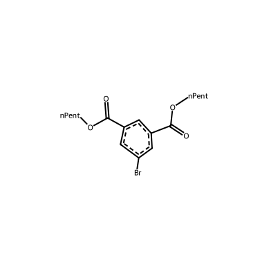 CCCCCOC(=O)c1cc(Br)cc(C(=O)OCCCCC)c1